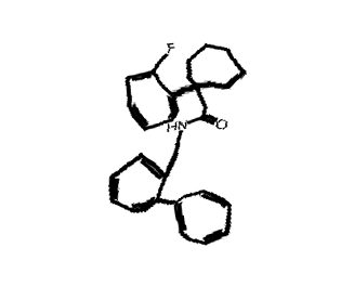 O=C(NCc1ccccc1-c1ccccc1)C1(c2ccccc2F)CCCCC1